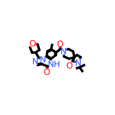 Cc1cc2c(cc1C(=O)N1CCC3(CC1)CCN(C(C)(C)C)C3=O)[nH]c(=O)c1cnc(C3CCOCC3)n12